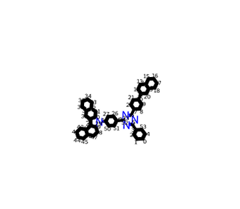 c1ccc(-c2nc(-c3ccc(-c4ccc5ccccc5c4)cc3)nc(-c3ccc(-n4c5cc6ccccc6cc5c5c6ccccc6ccc54)cc3)n2)cc1